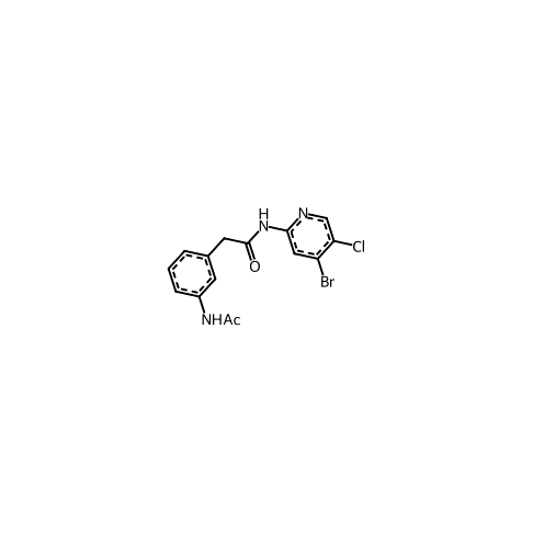 CC(=O)Nc1cccc(CC(=O)Nc2cc(Br)c(Cl)cn2)c1